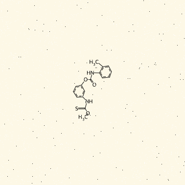 COC(=S)Nc1cccc(OC(=O)Nc2ccccc2C)c1